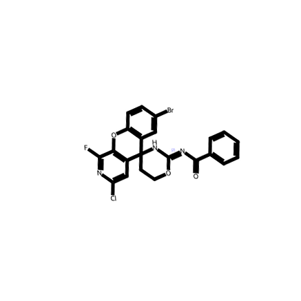 O=C(/N=C1/NC2(CCO1)c1cc(Br)ccc1Oc1c2cc(Cl)nc1F)c1ccccc1